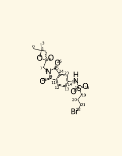 CC(C)(C)OC(=O)CN1C(=O)c2ccc(NS(=O)(=O)CCCBr)cc2C1=O